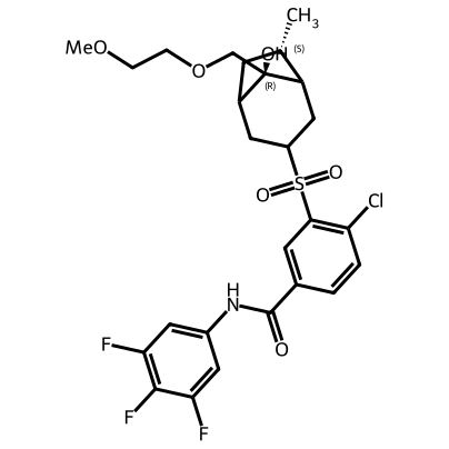 COCCOC[C@@]1(O)C2CC(S(=O)(=O)c3cc(C(=O)Nc4cc(F)c(F)c(F)c4)ccc3Cl)CC1[C@@H](C)C2